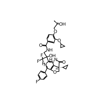 C[C@@H](O)COc1ccc(C(=O)NCC(O)(c2cc3c(c(-c4ccc(F)cc4)n2)OC[C@@]3(C(N)=O)C2CC2)C(F)(F)F)cc1OC1CC1